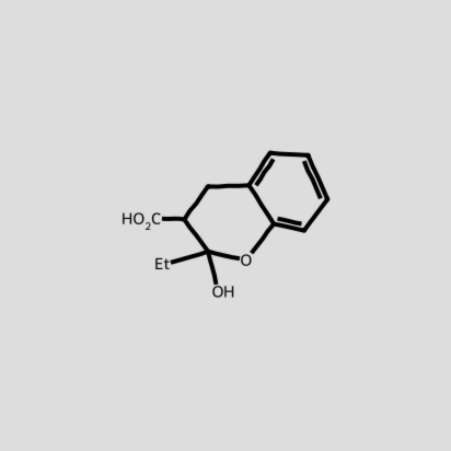 CCC1(O)Oc2ccccc2CC1C(=O)O